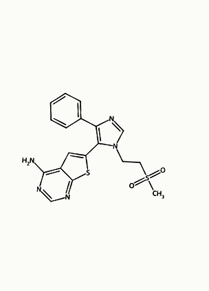 CS(=O)(=O)CCn1cnc(-c2ccccc2)c1-c1cc2c(N)ncnc2s1